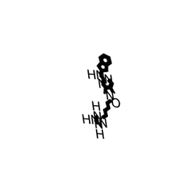 O=C(CCCCC1=NNNN1)N1Cc2cnc(NC3Cc4ccccc4C3)nc2C1